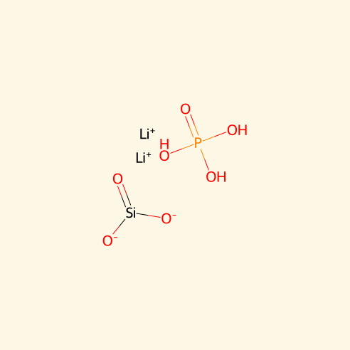 O=P(O)(O)O.O=[Si]([O-])[O-].[Li+].[Li+]